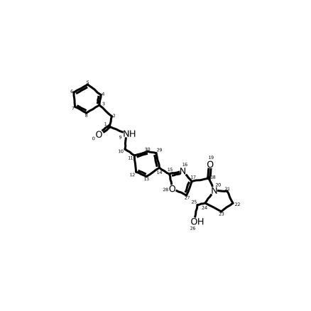 O=C(Cc1ccccc1)NCc1ccc(-c2nc(C(=O)N3CCCC3CO)co2)cc1